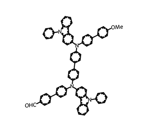 COc1ccc(-c2ccc(N(c3ccc(-c4ccc(N(c5ccc(-c6ccc(C=O)cc6)cc5)c5ccc6c(c5)c5ccccc5n6-c5ccccc5)cc4)cc3)c3ccc4c(c3)c3ccccc3n4-c3ccccc3)cc2)cc1